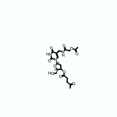 CC(=O)CCC(=O)OC1C[C@H](n2cc(CNC(=O)COC(C)=O)c(=O)[nH]c2=O)O[C@@H]1CO